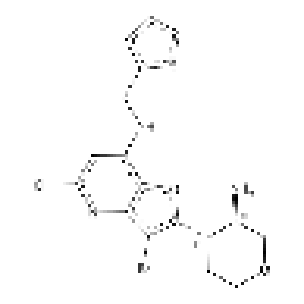 N[C@H]1COCC[C@@H]1c1oc2c(NCc3cccs3)cc(Cl)nc2c1Br